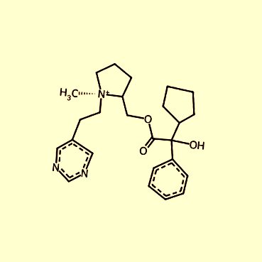 C[N@+]1(CCc2cncnc2)CCCC1COC(=O)C(O)(c1ccccc1)C1CCCC1